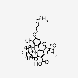 [2H]C1([2H])C([2H])([2H])C1([2H])n1c2c(cc(C(=O)O)c1=O)C(C1(C)COC1)Oc1cc(OCCCOC)c(Cl)cc1-2